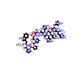 CC(C)[C@H](NC(=O)[C@H](Cc1c[nH]cn1)NC(=O)[C@H](Cc1c[nH]cn1)NC(=O)[C@H](Cc1c[nH]cn1)NC(=O)[C@H](Cc1c[nH]cn1)NC(=O)[C@@H](N)Cc1c[nH]cn1)C(=O)N[C@@H](CO)C(=O)N1CCC[C@H]1C(=O)N1CCC[C@H]1C(=O)N1CCC[C@H]1C(=O)N[C@@H](Cc1c[nH]c2ccccc12)C(=O)O